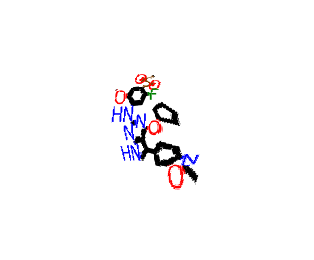 COc1cc(S(C)(=O)=O)c(F)cc1Nc1nc(OC2CCCC2)c2c(-c3ccc4nc(C)oc4c3)c[nH]c2n1